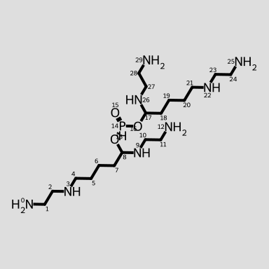 NCCNCCCCC(NCCN)O[PH](=O)OC(CCCCNCCN)NCCN